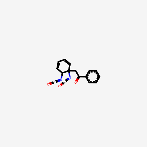 O=C=NC1C=CC=CC1(CC(=O)c1ccccc1)N=C=O